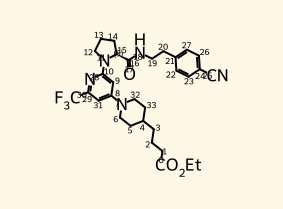 CCOC(=O)CCCC1CCN(c2cc(N3CCC[C@H]3C(=O)NCCc3ccc(C#N)cc3)nc(C(F)(F)F)c2)CC1